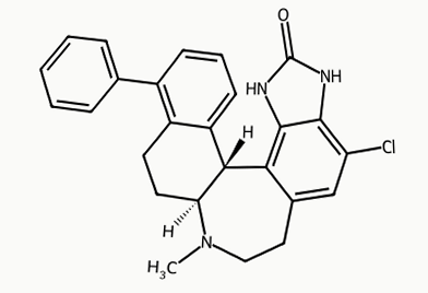 CN1CCc2cc(Cl)c3[nH]c(=O)[nH]c3c2[C@H]2c3cccc(-c4ccccc4)c3CC[C@@H]21